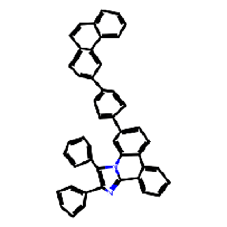 c1ccc(-c2nc3c4ccccc4c4ccc(-c5ccc(-c6ccc7ccc8ccccc8c7c6)cc5)cc4n3c2-c2ccccc2)cc1